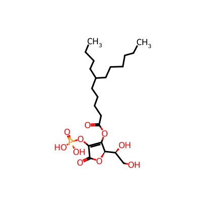 CCCCCCC(CCCC)CCCCC(=O)OC1=C(OP(=O)(O)O)C(=O)O[C@@H]1[C@@H](O)CO